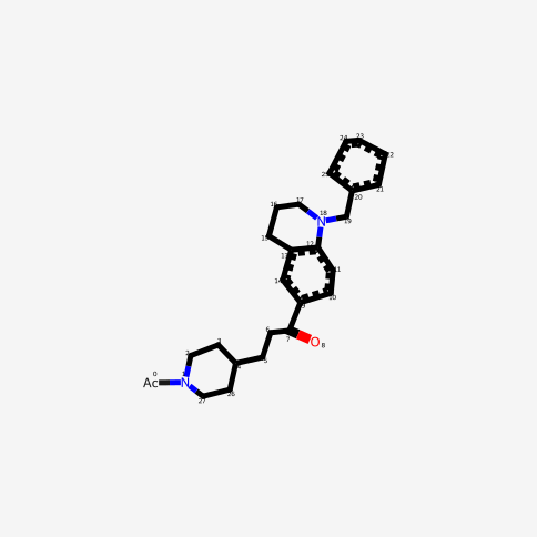 CC(=O)N1CCC(CCC(=O)c2ccc3c(c2)CCCN3Cc2ccccc2)CC1